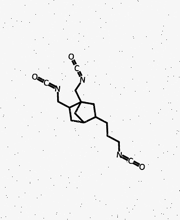 O=C=NCCCC1CC2(CN=C=O)CC1CC2CN=C=O